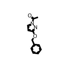 CC(=O)n1ccc(OCc2ccccc2)n1